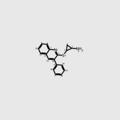 NC1CC1Sc1nc2ccccc2cc1-c1ccccc1